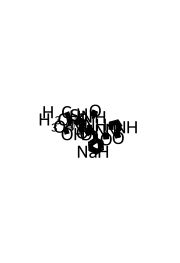 CC1(C)S[C@H]2N(C(=O)[C@@]2(NC=O)NC(=O)C(NC(=O)N2CCNC2=O)c2ccccc2)[C@H]1C(=O)O.[NaH]